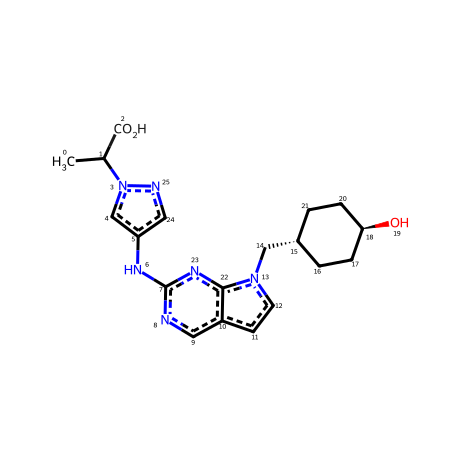 CC(C(=O)O)n1cc(Nc2ncc3ccn(C[C@H]4CC[C@H](O)CC4)c3n2)cn1